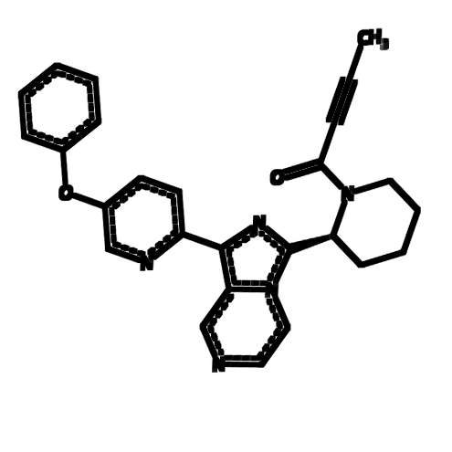 CC#CC(=O)N1CCCC[C@H]1c1nc(-c2ccc(Oc3ccccc3)cn2)c2cnccn12